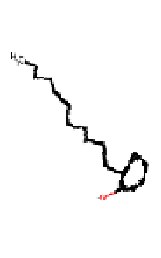 CCCCCCCCCCCc1ccccc1[O]